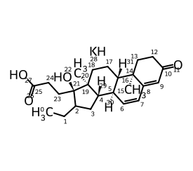 CCC1C[C@H]2[C@@H]3C=CC4=CC(=O)CC[C@]4(C)[C@H]3CC[C@]2(C)[C@@]1(O)CCC(=O)O.[KH]